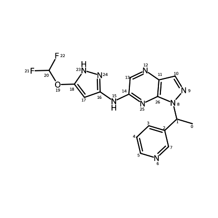 CC(c1cccnc1)n1ncc2ncc(Nc3cc(OC(F)F)[nH]n3)nc21